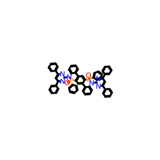 O=P1(c2ccccc2)c2cc3c(cc2-c2ccccc2N1c1nc(-c2ccccc2)cc(-c2ccccc2)n1)P(=O)(c1ccccc1)N(c1nc(-c2ccccc2)cc(-c2ccccc2)n1)c1ccccc1-3